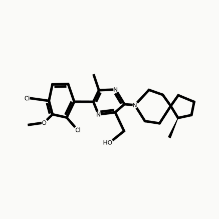 COc1c(Cl)ccc(-c2nc(CO)c(N3CCC4(CCC[C@H]4C)CC3)nc2C)c1Cl